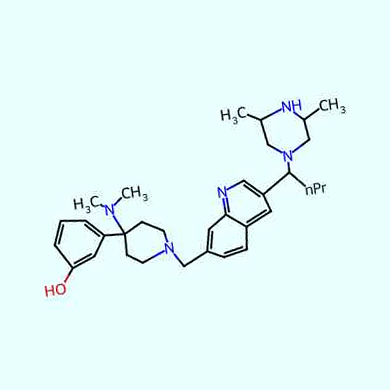 CCCC(c1cnc2cc(CN3CCC(c4cccc(O)c4)(N(C)C)CC3)ccc2c1)N1CC(C)NC(C)C1